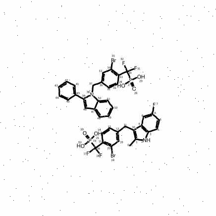 Cc1[nH]c2ccc(F)cc2c1Cc1ccc(C(F)(F)P(=O)(O)O)c(Br)c1.O=P(O)(O)C(F)(F)c1ccc(Cn2c(-c3ccccc3)cc3ccccc32)cc1Br